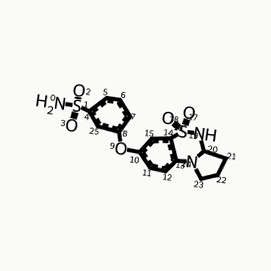 NS(=O)(=O)c1cccc(Oc2ccc3c(c2)S(=O)(=O)NC2CCCN32)c1